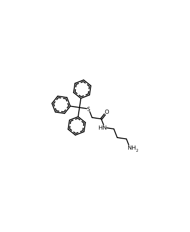 NCCCNC(=O)CSC(c1ccccc1)(c1ccccc1)c1ccccc1